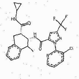 CC1c2ccccc2C[C@H](C(=O)NC2CC2)[C@@H]1NC(=O)c1cc(C(F)(F)F)nn1-c1ncccc1Cl